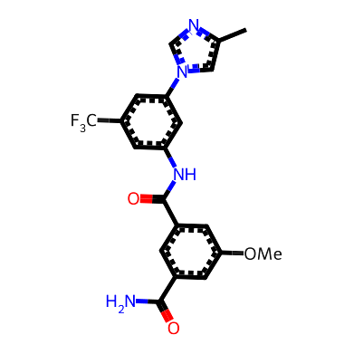 COc1cc(C(N)=O)cc(C(=O)Nc2cc(-n3cnc(C)c3)cc(C(F)(F)F)c2)c1